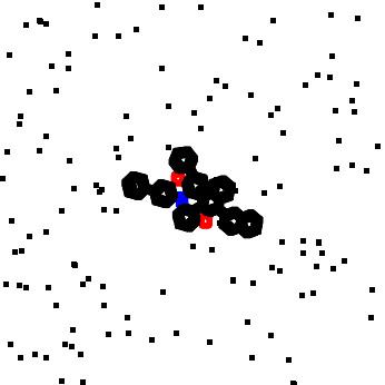 c1ccc(-c2ccc(N(c3cccc4c3oc3ccccc34)c3cccc4oc5c(-c6ccc7ccccc7c6)c6ccccc6cc5c34)cc2)cc1